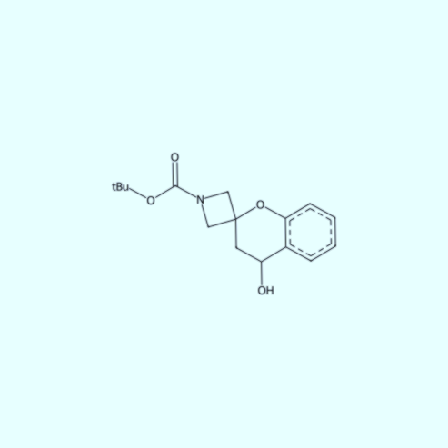 CC(C)(C)OC(=O)N1CC2(CC(O)c3ccccc3O2)C1